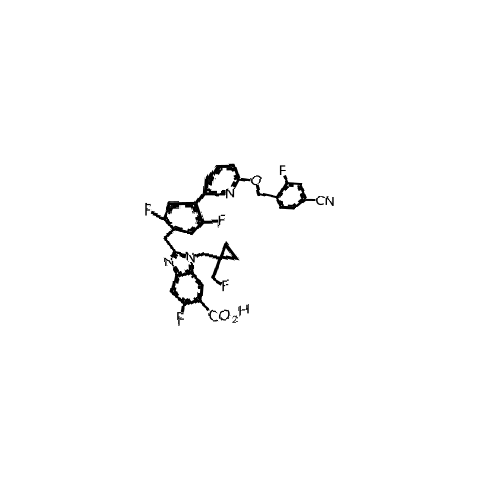 N#Cc1ccc(COc2cccc(-c3cc(F)c(Cc4nc5cc(F)c(C(=O)O)cc5n4CC4(CF)CC4)cc3F)n2)c(F)c1